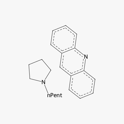 CCCCCN1CCCC1.c1ccc2nc3ccccc3cc2c1